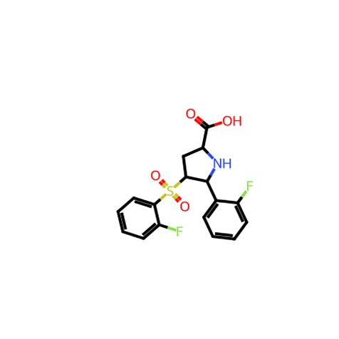 O=C(O)C1CC(S(=O)(=O)c2ccccc2F)C(c2ccccc2F)N1